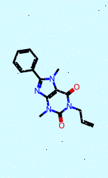 C=CCn1c(=O)c2c(nc(-c3ccccc3)n2C)n(C)c1=O